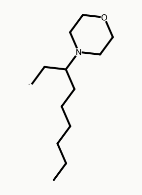 [CH2]CC(CCCCCC)N1CCOCC1